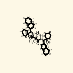 CC(C)(C(=O)N[C@H](c1ccc2ccccc2c1)C1(O)CCCCC1)C(=O)N[C@H](c1ccc2ccccc2c1)C1(O)CCCCC1